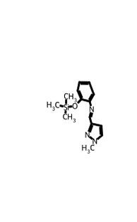 Cn1ccc(/C=N/c2ccccc2O[Si](C)(C)C)n1